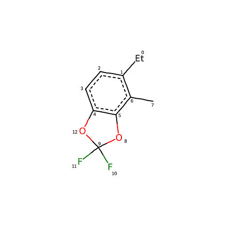 CCc1ccc2c(c1C)OC(F)(F)O2